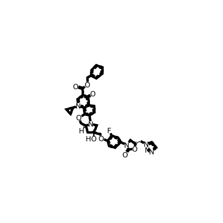 O=C(OCc1ccccc1)c1cn(C2CC2)c2c3c(ccc2c1=O)N1C[C@](O)(COc2ccc(N4C[C@H](Cn5ccnn5)OC4=O)cc2F)C[C@H]1CO3